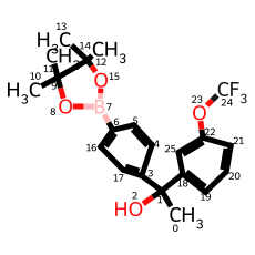 CC(O)(c1ccc(B2OC(C)(C)C(C)(C)O2)cc1)c1cccc(OC(F)(F)F)c1